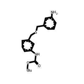 CC(C)(C)OC(=O)Nc1cccc(CSCc2cccc(N)c2)c1